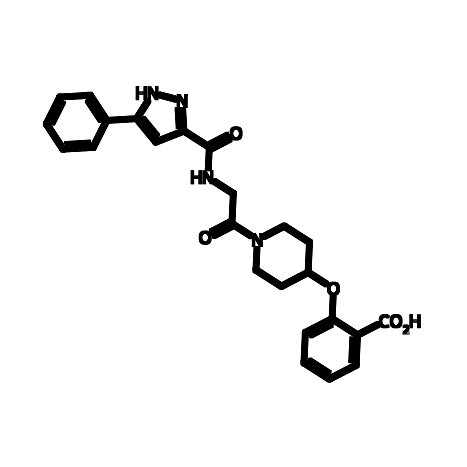 O=C(NCC(=O)N1CCC(Oc2ccccc2C(=O)O)CC1)c1cc(-c2ccccc2)[nH]n1